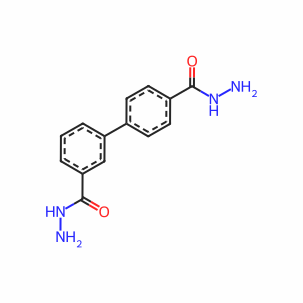 NNC(=O)c1ccc(-c2cccc(C(=O)NN)c2)cc1